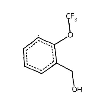 OCc1ccc[c]c1OC(F)(F)F